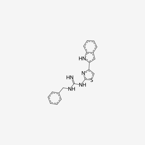 N=C(NCc1ccccc1)Nc1nc(-c2cc3ccccc3[nH]2)cs1